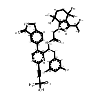 CC(C)(O)C#Cc1ncc(-c2ccc3c(c2)C(=O)NC3)c([C@H](Cc2cc(F)cc(F)c2)NC(=O)Cn2nc(C(F)F)c3c2C(F)(F)CCC3(F)F)n1